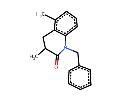 Cc1cccc2c1CC(C)C(=O)N2Cc1ccccc1